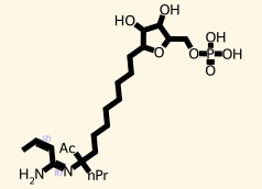 C/C=C\C(N)=N/C(CCC)(CCCCCCCCC1OC(COP(=O)(O)O)C(O)C1O)C(C)=O